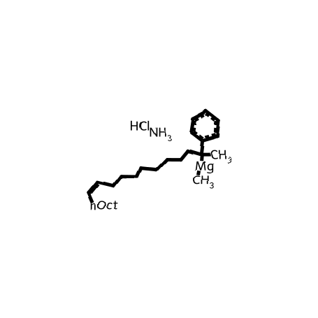 CCCCCCCC/C=C\CCCCCCCC[C](C)([Mg][CH3])c1ccccc1.Cl.N